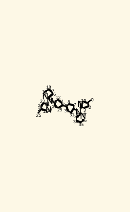 Cc1ccc(N(c2ccc(-c3ccc(N(c4ccccn4)c4ccc(C)cn4)cc3)cc2)c2ccccn2)nc1